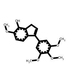 COc1ccc2c(c1O)CC=C2c1cc(OC)c(OC)c(OC)c1